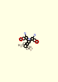 CC1(C)CCC(C)(C)c2cc3c(cc21)cc1c2c4c(c(C#N)cc2n2c5cc(C#N)c6c(c5c3c12)C1c2ccccc2C6c2ccccc21)C1c2ccccc2C4c2ccccc21